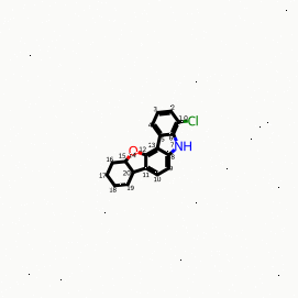 Clc1cccc2c1[nH]c1ccc3c(c12)OC1CCCCC31